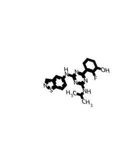 CC(C)Nc1nc(Nc2ccc3sncc3c2)nc(C2=C(F)C(O)CCC2)n1